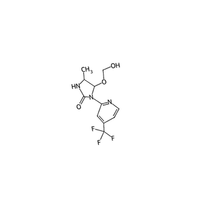 CC1NC(=O)N(c2cc(C(F)(F)F)ccn2)C1OCO